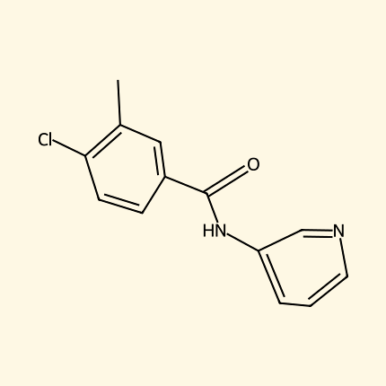 Cc1cc(C(=O)Nc2cccnc2)ccc1Cl